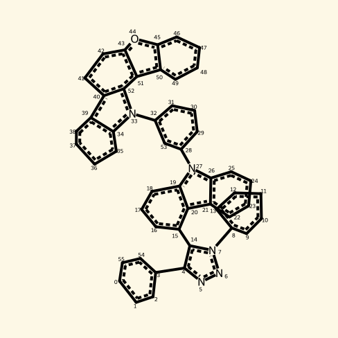 c1ccc(-c2nnn(-c3ccccc3)c2-c2cccc3c2c2ccccc2n3-c2cccc(-n3c4ccccc4c4ccc5oc6ccccc6c5c43)c2)cc1